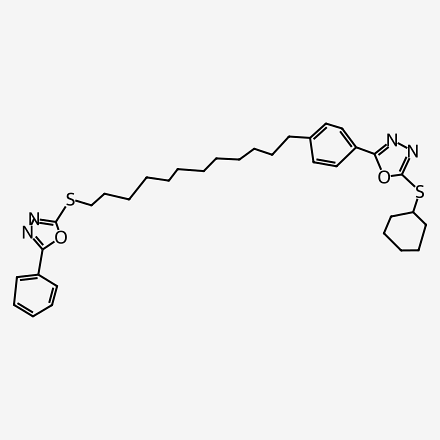 c1ccc(-c2nnc(SCCCCCCCCCCCCc3ccc(-c4nnc(SC5CCCCC5)o4)cc3)o2)cc1